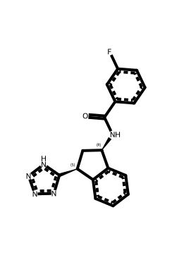 O=C(N[C@@H]1C[C@H](c2nnn[nH]2)c2ccccc21)c1cccc(F)c1